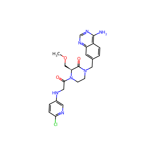 COC[C@H]1C(=O)N(Cc2ccc3c(N)ncnc3c2)CCN1C(=O)CNc1ccc(Cl)nc1